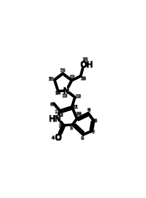 Cc1[nH]c(=O)c2ccccc2c1CN1CCCC1CO